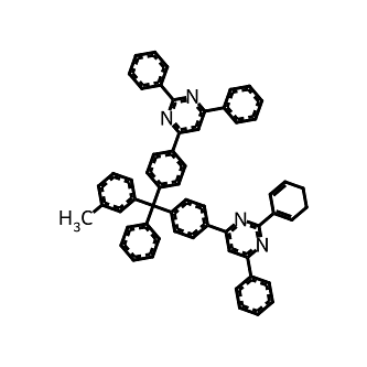 Cc1cccc(C(c2ccccc2)(c2ccc(-c3cc(-c4ccccc4)nc(C4=CCCC=C4)n3)cc2)c2ccc(-c3cc(-c4ccccc4)nc(-c4ccccc4)n3)cc2)c1